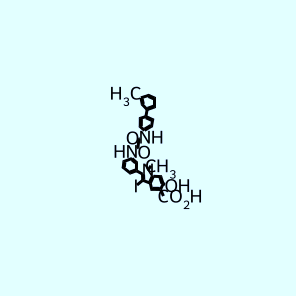 Cc1cccc(-c2ccc(NC(=O)C(=O)Nc3cccc(-c4c(I)c5cc(C(=O)O)c(O)cc5n4C)c3)cc2)c1